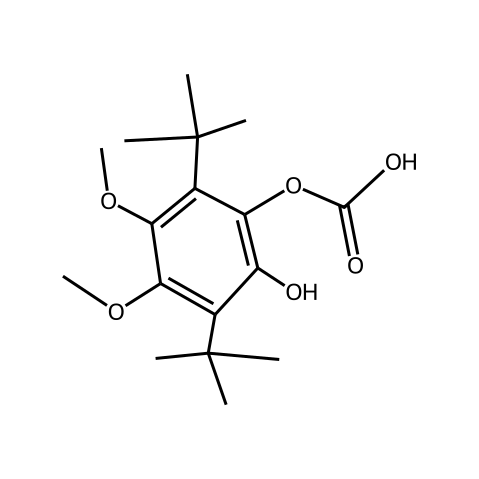 COc1c(OC)c(C(C)(C)C)c(OC(=O)O)c(O)c1C(C)(C)C